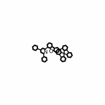 c1ccc(-c2cc(-c3ccccc3)nc(-c3cccc4c3oc3ccc(-c5cccc6c5C5(c7ccccc7-c7ccccc75)c5ccccc5-6)cc34)c2)cc1